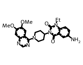 CCn1c(=O)n(C2CCN(c3ncnc4cc(OC)c(OC)cc34)CC2)c(=O)c2cc(N)ccc21